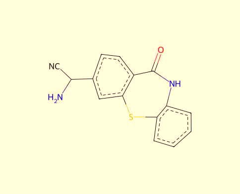 N#CC(N)c1ccc2c(c1)Sc1ccccc1NC2=O